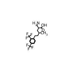 CC(CCc1ccc(C(F)(F)F)cc1C(F)(F)F)CC(CN)C(=O)O